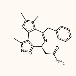 Cc1noc2c1-c1sc(C)c(C)c1C(Cc1ccccc1)=N[C@H]2CC(N)=O